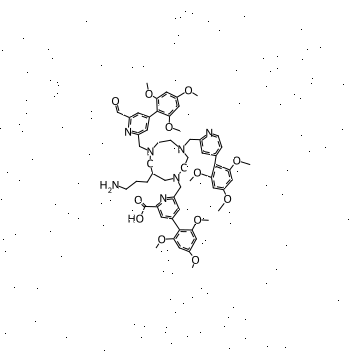 COc1cc(OC)c(-c2ccnc(CN3CCN(Cc4cc(-c5c(OC)cc(OC)cc5OC)cc(C=O)n4)CC(CCCN)CN(Cc4cc(-c5c(OC)cc(OC)cc5OC)cc(C(=O)O)n4)CC3)c2)c(OC)c1